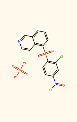 O=S(=O)(O)O.O=[N+]([O-])c1ccc(S(=O)(=O)c2cccc3cnccc23)c(Cl)c1